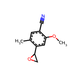 COc1cc(C2CO2)c(C)cc1C#N